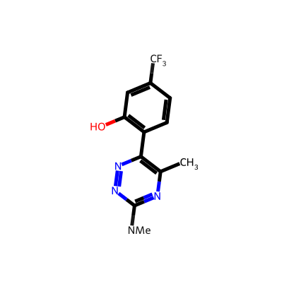 CNc1nnc(-c2ccc(C(F)(F)F)cc2O)c(C)n1